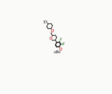 CCCCOc1ccc(C2CCC(COC3CCC(CC)CC3)OC2)c(F)c1F